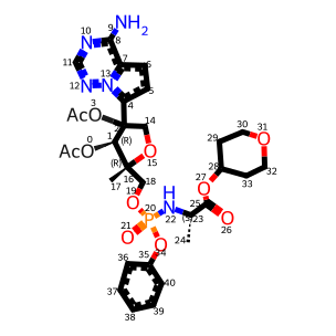 CC(=O)O[C@H]1C(OC(C)=O)(c2ccc3c(N)ncnn23)CO[C@]1(C)COP(=O)(N[C@@H](C)C(=O)OC1CCOCC1)Oc1ccccc1